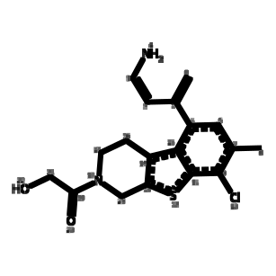 C=C(/C=C\N)c1cc(C)c(Cl)c2sc3c(c12)CCN(C(=O)CO)C3